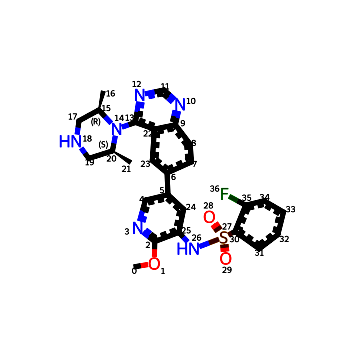 COc1ncc(-c2ccc3ncnc(N4[C@H](C)CNC[C@@H]4C)c3c2)cc1NS(=O)(=O)c1ccccc1F